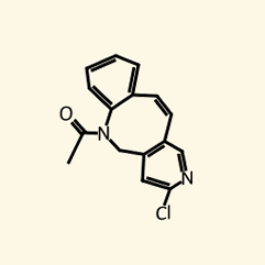 CC(=O)N1Cc2cc(Cl)ncc2/C=C\c2ccccc21